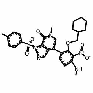 CNc1ccc(-c2cn(C)c(=O)c3c2cnn3S(=O)(=O)c2ccc(C)cc2)c(OCC2CCCCC2)c1[N+](=O)[O-]